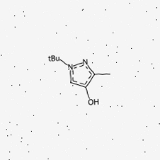 Cc1nn(C(C)(C)C)cc1O